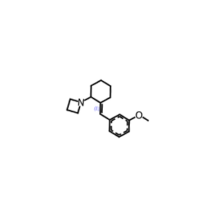 COc1cccc(/C=C2\CCCCC2N2CCC2)c1